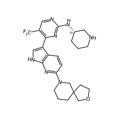 FC(F)(F)c1cnc(N[C@H]2CCCNC2)nc1-c1c[nH]c2nc(N3CCCC4(CCOC4)C3)ccc12